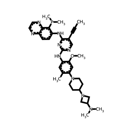 CC#Cc1cnc(Nc2cc(C)c(N3CCC(N4CC(N(C)C)C4)CC3)cc2OC)nc1Nc1ccc2nccnc2c1P(C)C